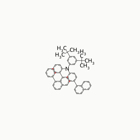 CC(C)(C)c1cc(N(c2ccc(-c3cccc4ccccc34)cc2)c2ccccc2-c2cccc3cccc(-c4ccccc4)c23)cc(C(C)(C)C)c1